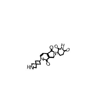 O=C1CC[C@H](N2Cc3c(ccn(C4CC5(CNC5)C4)c3=O)C2=O)C(=O)N1